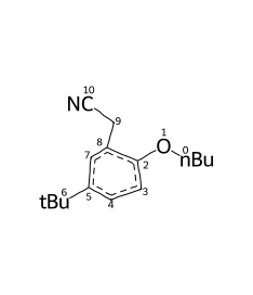 CCCCOc1ccc(C(C)(C)C)cc1CC#N